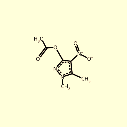 CC(=O)Oc1nn(C)c(C)c1[N+](=O)[O-]